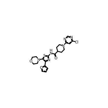 O=C(Nc1nc(-c2ccco2)c(N2CCOCC2)s1)C1CCN(c2cc(Cl)ncn2)CC1